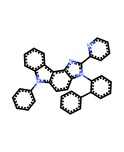 c1ccc(-c2ccccc2-n2c(-c3ccccn3)nc3c4c5ccccc5n(-c5ccccc5)c4ccc32)cc1